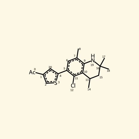 CC(=O)c1csc(-c2cc(C)c3c(c2Cl)C(C)CC(C)(C)N3)c1